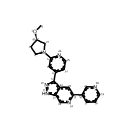 CO[C@@H]1CCN(c2cc(-c3n[nH]c4cnc(-c5cccnc5)cc34)ccn2)C1